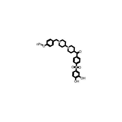 CCCOc1ccc(CN2CCC(N3CCC(C(=O)c4ccc(S(=O)(=O)c5ccc(O)c(O)c5)cc4)CC3)CC2)cc1